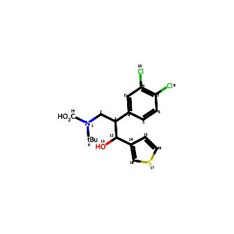 CC(C)(C)N(CC(c1ccc(Cl)c(Cl)c1)C(O)c1ccsc1)C(=O)O